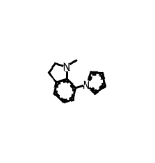 CN1CCc2cccc(-n3cccc3)c21